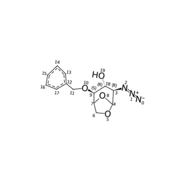 [N-]=[N+]=N[C@H]1C2OCC(O2)[C@@H](OCc2ccccc2)[C@@H]1O